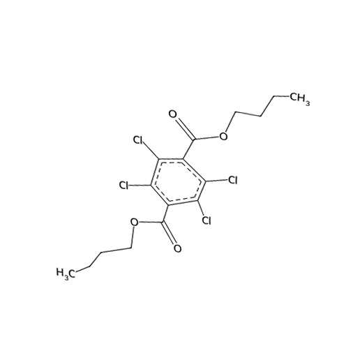 CCCCOC(=O)c1c(Cl)c(Cl)c(C(=O)OCCCC)c(Cl)c1Cl